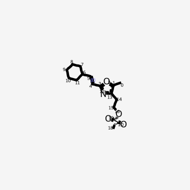 Cc1oc(/C=C/C2CCCCC2)nc1CCOS(C)(=O)=O